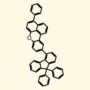 c1ccc(-c2ccc3c4c(cccc24)-c2cc(-c4cccc5c4-c4ccccc4C5(c4ccccc4)c4ccccc4)ccc2O3)cc1